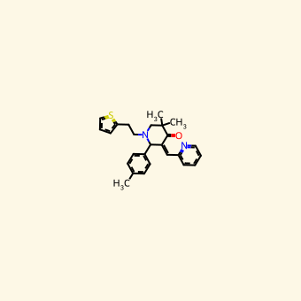 Cc1ccc(C2C(=Cc3ccccn3)C(=O)C(C)(C)CN2CCc2cccs2)cc1